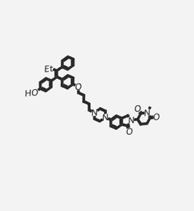 CCC(=C(c1ccc(O)cc1)c1ccc(OCCCCCN2CCN(c3ccc4c(c3)CN(C3CCC(=O)N(C)C3=O)C4=O)CC2)cc1)c1ccccc1